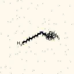 CCCCCCCCCCCCC/C=C\CCCOP(=O)(O)C(CC)[N+](C)(C)C